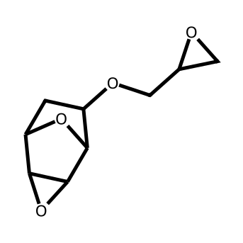 C1OC1COC1CC2OC1C1OC21